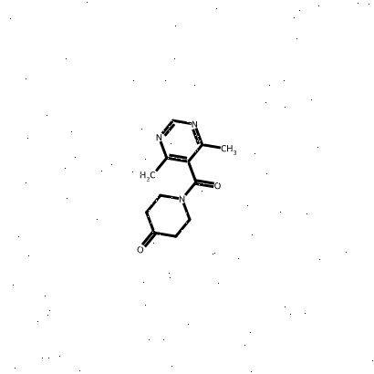 Cc1ncnc(C)c1C(=O)N1CCC(=O)CC1